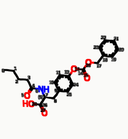 CCCCC(=O)N[C@@H](Cc1ccc(OC(=O)OCc2ccccc2)cc1)C(=O)O